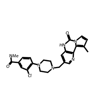 CNC(=O)c1ccc(N2CCN(Cc3cnc4c(c3)[nH]c(=O)n3ccc(C)c43)CC2)c(Cl)c1